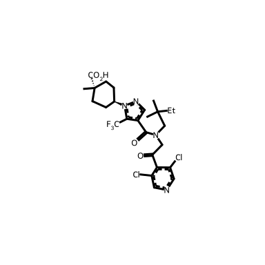 CCC(C)(C)CN(CC(=O)c1c(Cl)cncc1Cl)C(=O)c1cnn([C@H]2CC[C@](C)(C(=O)O)CC2)c1C(F)(F)F